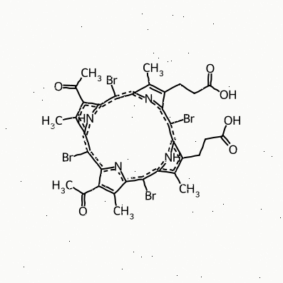 CC(=O)C1=C(C)c2nc1c(Br)c1[nH]c(c(Br)c3nc(c(Br)c4[nH]c(c(C)c4CCC(=O)O)c2Br)C(CCC(=O)O)=C3C)c(C(C)=O)c1C